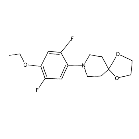 CCOc1cc(F)c(N2CCC3(CC2)OCCO3)cc1F